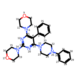 c1ccc(-c2c(N3CCOCC3)nc(N3CCOCC3)nc2N2CCN(c3ccccc3)CC2)cc1